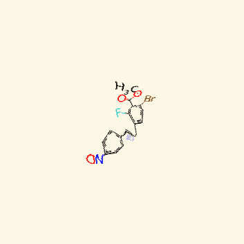 COC(=O)c1c(Br)ccc(/C=C/c2ccc(N=O)cc2)c1F